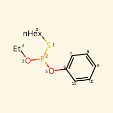 CCCCCCSP(OCC)Oc1ccccc1